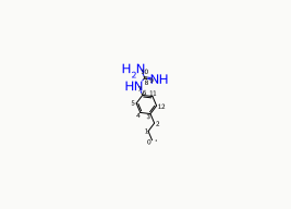 [CH2]CCc1ccc(NC(=N)N)cc1